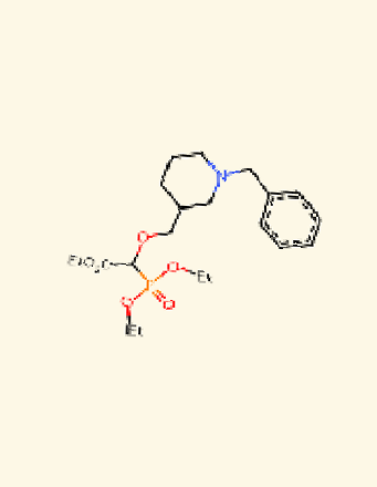 CCOC(=O)C(OCC1CCCN(Cc2ccccc2)C1)P(=O)(OCC)OCC